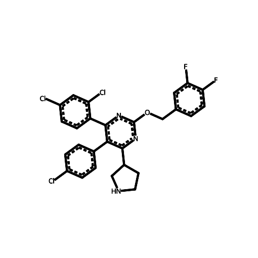 Fc1ccc(COc2nc(-c3ccc(Cl)cc3Cl)c(-c3ccc(Cl)cc3)c(C3CCNC3)n2)cc1F